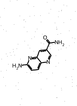 NC(=O)c1cnc2ccc(N)nc2c1